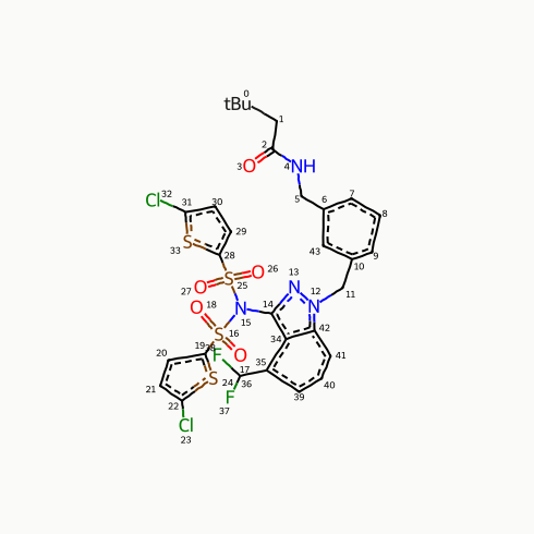 CC(C)(C)CC(=O)NCc1cccc(Cn2nc(N(S(=O)(=O)c3ccc(Cl)s3)S(=O)(=O)c3ccc(Cl)s3)c3c(C(F)F)cccc32)c1